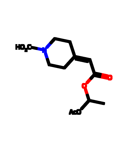 CC(=O)OC(C)OC(=O)C=C1CCN(C(=O)O)CC1